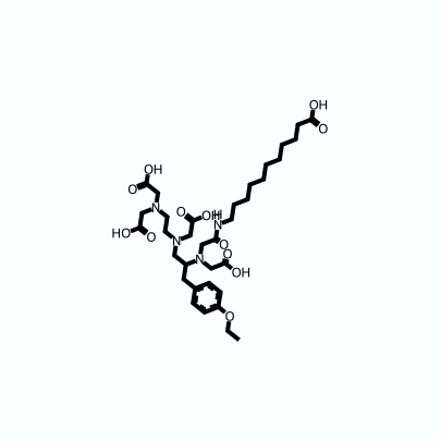 CCOc1ccc(CC(CN(CCN(CC(=O)O)CC(=O)O)CC(=O)O)N(CC(=O)O)CC(=O)NCCCCCCCCCCC(=O)O)cc1